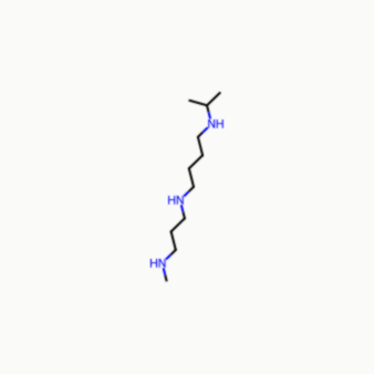 CNCCCNCCCCNC(C)C